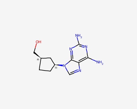 Nc1nc(N)c2ncn([C@H]3CC[C@@H](CO)C3)c2n1